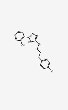 Cc1cnccc1-c1nnc(NCCCc2ccc(Cl)cc2)[nH]1